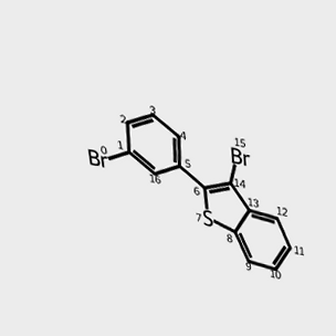 Brc1cccc(-c2sc3ccccc3c2Br)c1